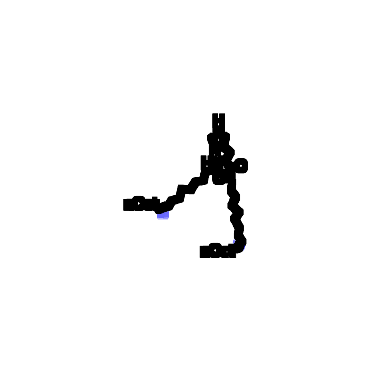 CCCCCCCC/C=C\CCCCCCCCNC(=O)C(Cc1c[nH]cn1)NC(=O)CCCCCCC/C=C\CCCCCCCC